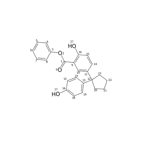 O=C(Oc1ccccc1)c1cc(C2(c3ccc(O)cc3)CCCC2)ccc1O